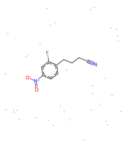 N#CCCCc1ccc([N+](=O)[O-])cc1F